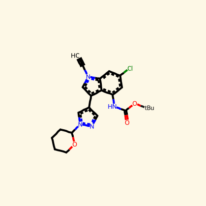 C#Cn1cc(-c2cnn(C3CCCCO3)c2)c2c(NC(=O)OC(C)(C)C)cc(Cl)cc21